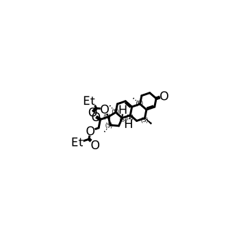 CCC(=O)OCC(=O)[C@@]1(OC(=O)CC)[C@@H](C)C[C@H]2[C@@H]3C[C@H](C)C4=CC(=O)CC[C@]4(C)C3=CC[C@@]21C